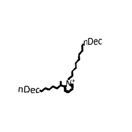 CCCCCCCCCCCCCCCCCCC[n+]1ccccc1C(C)CCCCCCCCCCCCCCC